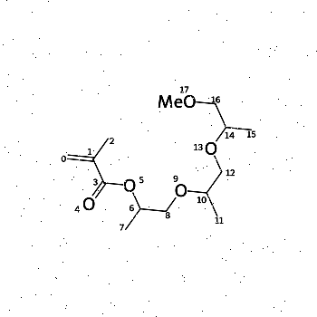 C=C(C)C(=O)OC(C)COC(C)COC(C)COC